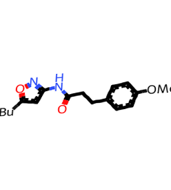 COc1ccc(CCC(=O)Nc2cc(C(C)(C)C)on2)cc1